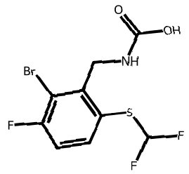 O=C(O)NCc1c(SC(F)F)ccc(F)c1Br